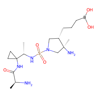 C[C@H](N)C(=O)NC1([C@H](C)NS(=O)(=O)N2C[C@H](CCCB(O)O)[C@@](C)(N)C2)CC1